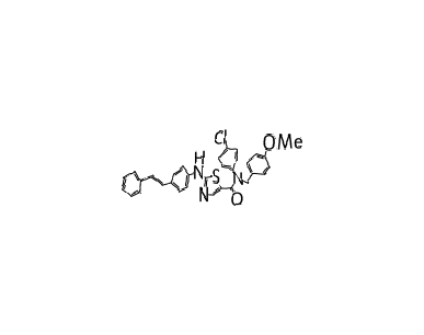 COc1ccc(CN(C(=O)c2cnc(Nc3ccc(C=Cc4ccccc4)cc3)s2)c2ccc(Cl)cc2)cc1